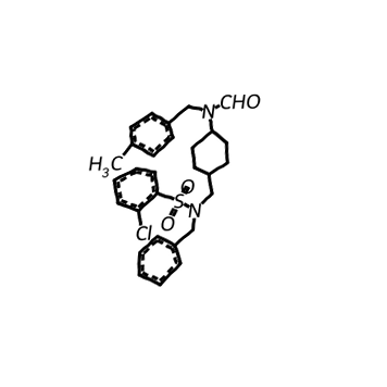 Cc1ccc(CN(C=O)C2CCC(CN(Cc3ccccc3)S(=O)(=O)c3ccccc3Cl)CC2)cc1